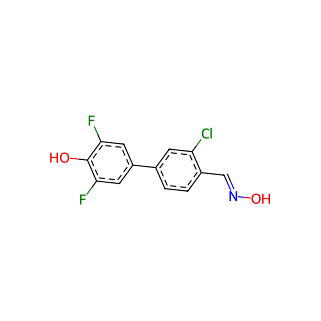 O/N=C/c1ccc(-c2cc(F)c(O)c(F)c2)cc1Cl